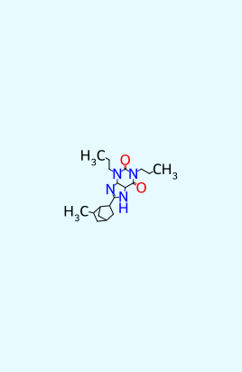 CCCN1C(=O)C2NC(C3CC4CC(C)C3C4)=NC2N(CCC)C1=O